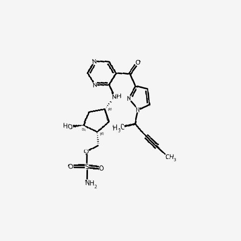 CC#CC(C)n1ccc(C(=O)c2cncnc2N[C@@H]2C[C@H](COS(N)(=O)=O)[C@@H](O)C2)n1